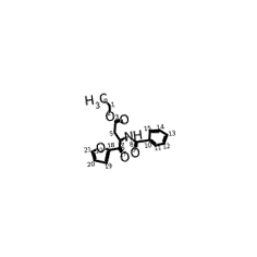 CCOC(=O)CC(NC(=O)c1ccccc1)C(=O)c1ccco1